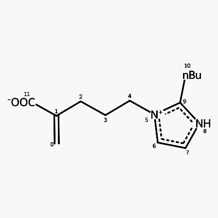 C=C(CCC[n+]1cc[nH]c1CCCC)C(=O)[O-]